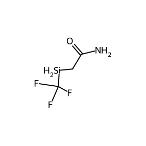 NC(=O)C[SiH2]C(F)(F)F